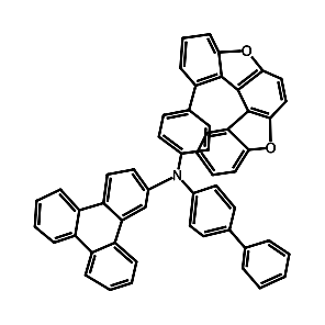 c1ccc(-c2ccc(N(c3ccc(-c4cccc5oc6ccc7oc8ccccc8c7c6c45)cc3)c3ccc4c5ccccc5c5ccccc5c4c3)cc2)cc1